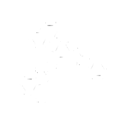 CCOC(=O)C(=O)N(Cc1ccccc1)Cc1ccc(-c2cccc3ccccc23)cc1OCC(=O)Nc1cccc(C(=O)O)c1